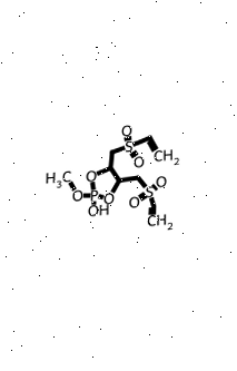 C=CS(=O)(=O)CC1O[P](O)(OC)OC1CS(=O)(=O)C=C